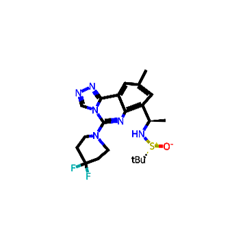 Cc1cc([C@@H](C)N[S@+]([O-])C(C)(C)C)c2nc(N3CCC(F)(F)CC3)n3cnnc3c2c1